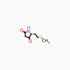 CSCC[C@@H]1NC(=O)CC1=O